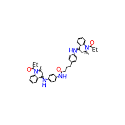 CCC(=O)N1c2ccccc2[C@H](Nc2ccc(CCCC(=O)Nc3ccc(N[C@@H]4C[C@H](C)N(C(=O)CC)c5ccccc54)cc3)cc2)C[C@@H]1C